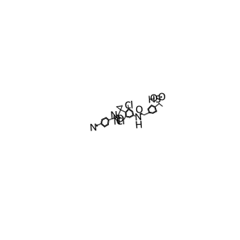 CC(c1ccc(CC(=O)Nc2cc(Cl)c(C3(c4nc(-c5ccc(C#N)cc5)no4)CC3)c(Cl)c2)cc1)[SH](=O)=O